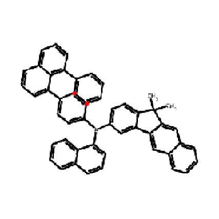 CC1(C)c2ccc(N(c3ccc(-c4cccc5cccc(-c6ccccc6)c45)cc3)c3cccc4ccccc34)cc2-c2cc3ccccc3cc21